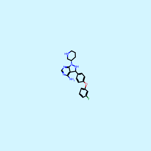 Nc1ncnc2c1C(c1ccc(Oc3cccc(F)c3)cc1)NN2[C@@H]1CCCNC1